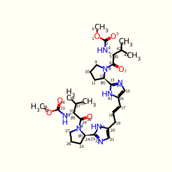 COC(=O)N[C@@H](C(=O)N1CCC[C@@H]1c1ncc(C=CCc2cnc([C@H]3CCCN3C(=O)[C@H](NC(=O)OC)C(C)C)[nH]2)[nH]1)C(C)C